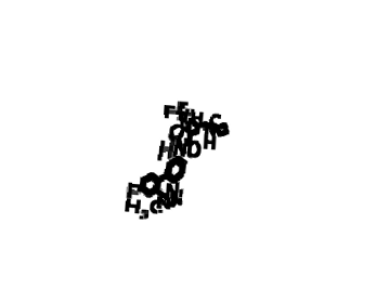 Cn1cnnc1-c1cc(F)ccc1-c1cccc(NC(=O)c2cc(CNC3(C)CCC3)cn(CC(F)(F)F)c2=O)c1